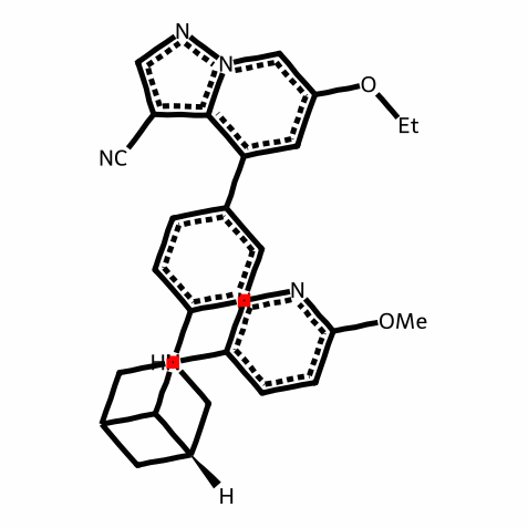 CCOc1cc(-c2ccc(N3CC4C[C@@H](C3)C4Nc3ccc(OC)nc3)nc2)c2c(C#N)cnn2c1